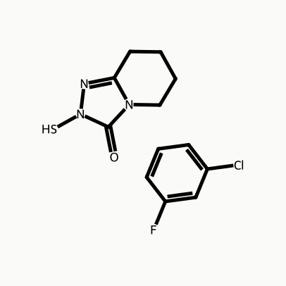 Fc1cccc(Cl)c1.O=c1n(S)nc2n1CCCC2